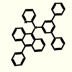 c1ccc(-c2cc(-c3ccccc3)cc(N(c3ccccn3)c3c4ccccc4c(-c4ccccc4)c4ccccc34)c2)cc1